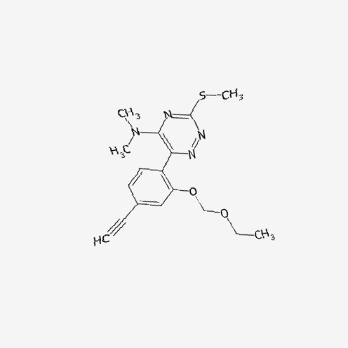 C#Cc1ccc(-c2nnc(SC)nc2N(C)C)c(OCOCC)c1